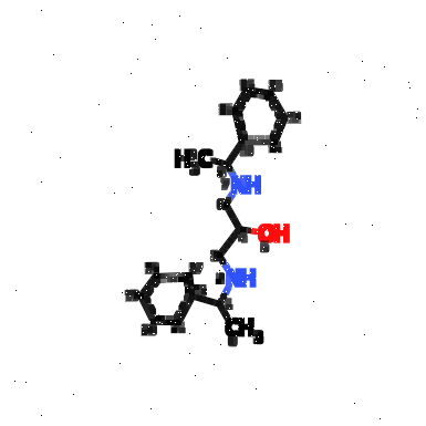 CC(NCC(O)CNC(C)c1ccccc1)c1ccccc1